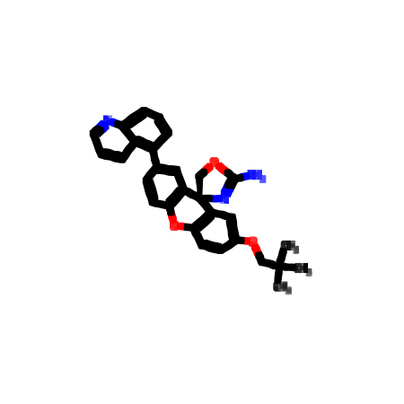 CC(C)(C)COc1ccc2c(c1)[C@]1(COC(N)=N1)c1cc(-c3cccc4ncccc34)ccc1O2